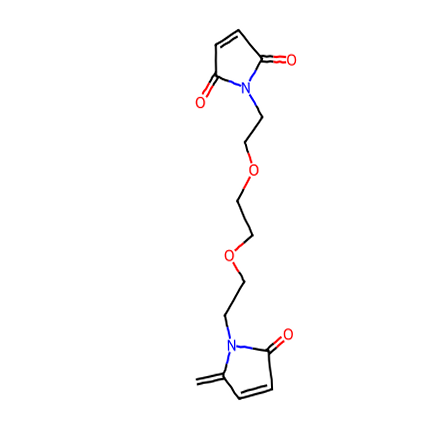 C=C1C=CC(=O)N1CCOCCOCCN1C(=O)C=CC1=O